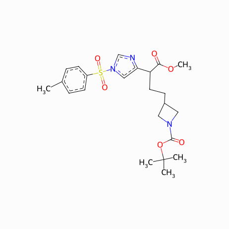 COC(=O)C(CCC1CN(C(=O)OC(C)(C)C)C1)c1cn(S(=O)(=O)c2ccc(C)cc2)cn1